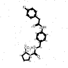 O=C(Cc1ccc(F)cc1)Nc1ccc(COC(=O)N2CCC[C@H]2C(=O)O)cc1